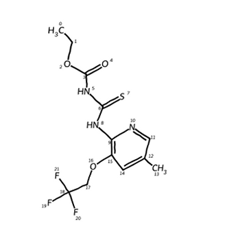 CCOC(=O)NC(=S)Nc1ncc(C)cc1OCC(F)(F)F